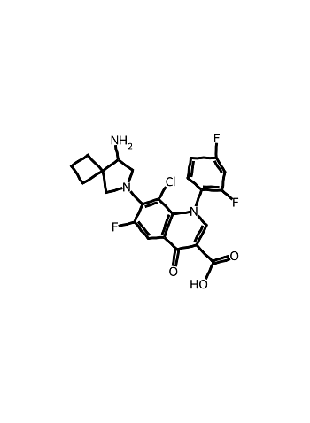 NC1CN(c2c(F)cc3c(=O)c(C(=O)O)cn(-c4ccc(F)cc4F)c3c2Cl)CC12CCC2